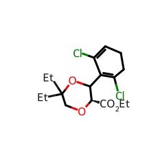 CCOC(=O)[C@H]1OCC(CC)(CC)OC1C1=C(Cl)CCC=C1Cl